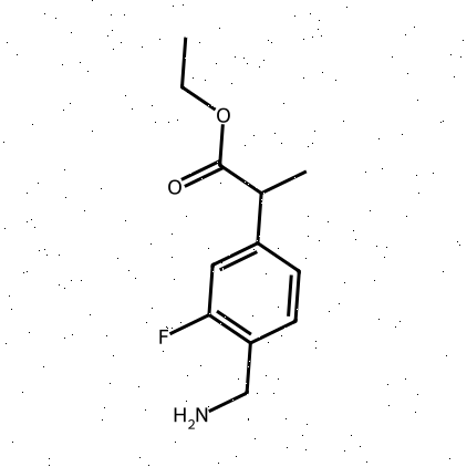 CCOC(=O)C(C)c1ccc(CN)c(F)c1